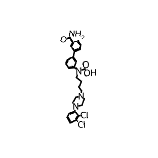 NC(=O)c1cccc(-c2cccc(N(CCCCN3CCN(c4cccc(Cl)c4Cl)CC3)C(=O)O)c2)c1